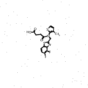 Cc1ccsc1N(Cc1nc2c(F)c(F)ccc2s1)C(=O)CCC(=O)O